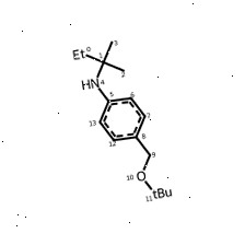 CCC(C)(C)Nc1ccc(COC(C)(C)C)cc1